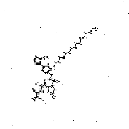 Cc1ncsc1-c1ccc(CNC(=O)[C@@H]2C[C@@H](O)CN2C(=O)[C@@H](NC(=O)C2(F)CC2)C(C)(C)C)c(OCCCCCCCCCCCCCCCBr)c1